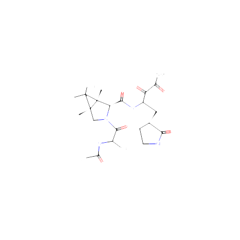 CNC(=O)C(=O)C(C[C@@H]1CCNC1=O)NC(=O)[C@@H]1[C@@H]2[C@H](CN1C(=O)C(NC(=O)C(F)(F)F)C(C)(C)C)C2(C)C